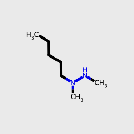 CCCCCN(C)NC